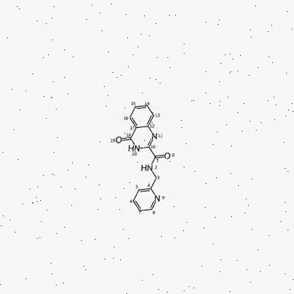 O=C(NCc1ccccn1)c1nc2ccccc2c(=O)[nH]1